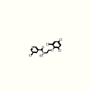 CCN(CCOc1c(Cl)cc(Cl)cc1Cl)C(=O)c1cncc(Cl)c1